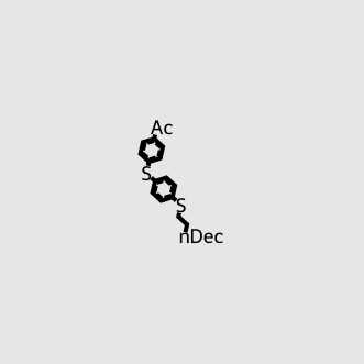 CCCCCCCCCCCCSc1ccc(Sc2ccc(C(C)=O)cc2)cc1